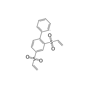 C=CS(=O)(=O)c1ccc(-c2[c]cccc2)c(S(=O)(=O)C=C)c1